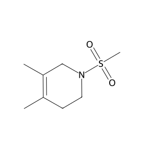 CC1=C(C)CN(S(C)(=O)=O)CC1